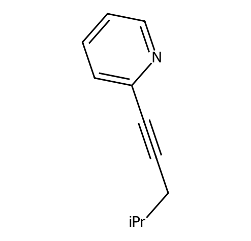 CC(C)CC#Cc1ccccn1